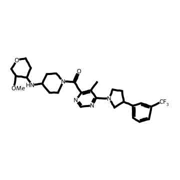 COC1COCCC1NC1CCN(C(=O)c2ncnc(N3CCC(c4cccc(C(F)(F)F)c4)C3)c2C)CC1